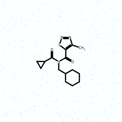 Cc1nnsc1C(=O)N(CC1CCCCC1)C(=O)C1CC1